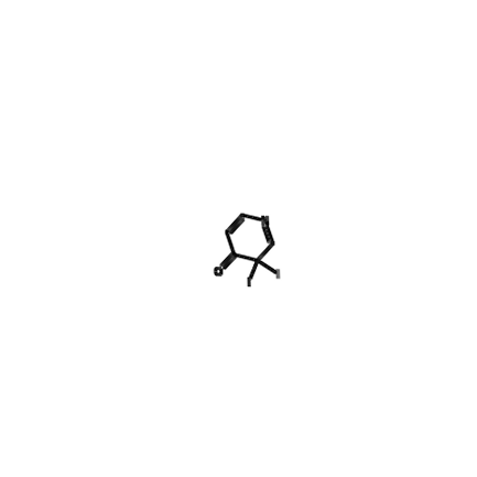 O=C1C=CN=CC1(I)I